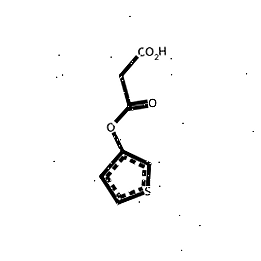 O=C(O)CC(=O)Oc1ccsc1